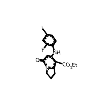 CCOC(=O)c1c(Nc2ccc(I)cc2F)cc(=O)n2c1CCC2